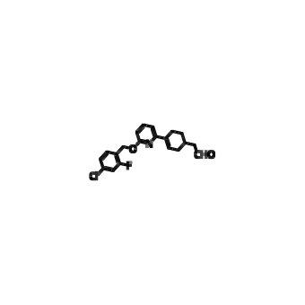 O=CCC1CC=C(c2cccc(OCc3ccc(Cl)cc3F)n2)CC1